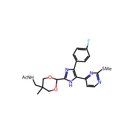 CSc1nccc(-c2[nH]c(C3OCC(C)(CNC(C)=O)CO3)nc2-c2ccc(F)cc2)n1